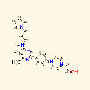 Cc1nc(-c2ccc(N3CCN(CCO)CC3)cc2)nc2c1CCN2CCCN1CCCC1